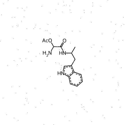 CC(=O)OC(N)C(=O)NC(C)Cc1c[nH]c2ccccc12